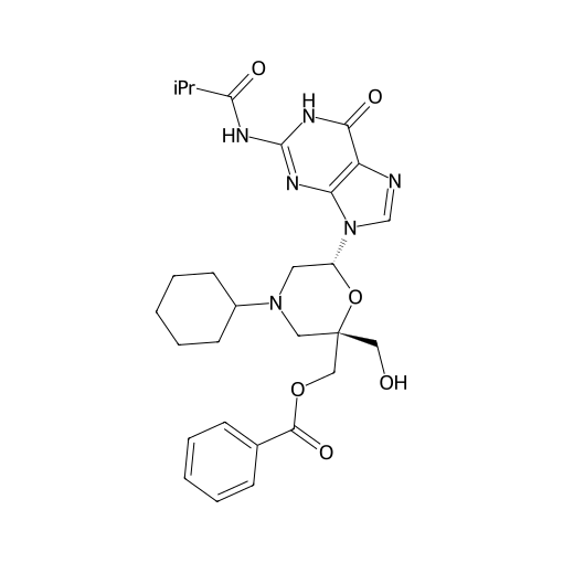 CC(C)C(=O)Nc1nc2c(ncn2[C@H]2CN(C3CCCCC3)C[C@@](CO)(COC(=O)c3ccccc3)O2)c(=O)[nH]1